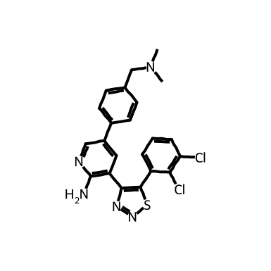 CN(C)Cc1ccc(-c2cnc(N)c(-c3nnsc3-c3cccc(Cl)c3Cl)c2)cc1